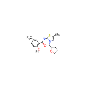 CCOc1ccc(C(F)(F)F)cc1C(=O)N=c1sc(C(C)(C)C)cn1CC1CCCO1